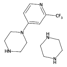 C1CNCCN1.FC(F)(F)c1cc(N2CCNCC2)ccn1